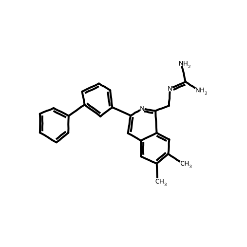 Cc1cc2cc(-c3cccc(-c4ccccc4)c3)nc(CN=C(N)N)c2cc1C